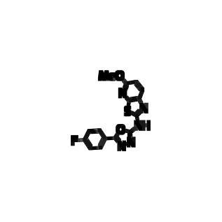 COc1ccc2nc(Nc3nnc(-c4ccc(F)cc4)o3)sc2n1